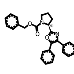 O=C(OCc1ccccc1)N1CCC[C@H]1c1nc(-c2ccccc2)c(-c2ccccc2)o1